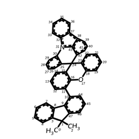 CC1(C)c2ccccc2-c2c(-c3cccc4c3Oc3ccccc3C43c4ccccc4-n4c5ccccc5c5cccc3c54)cccc21